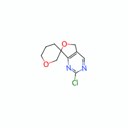 Clc1ncc2c(n1)C1(CCCOC1)OC2